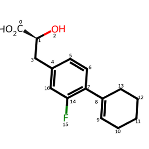 O=C(O)[C@@H](O)Cc1ccc(C2=CCCCC2)c(F)c1